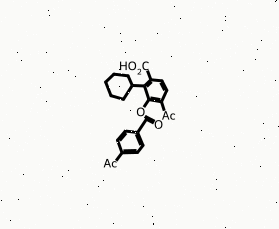 CC(=O)c1ccc(C(=O)Oc2c(C(C)=O)ccc(C(=O)O)c2C2CCCCC2)cc1